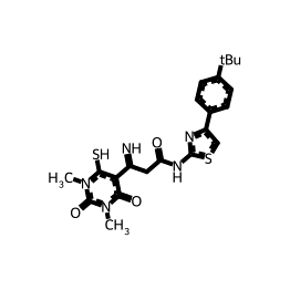 Cn1c(S)c(C(=N)CC(=O)Nc2nc(-c3ccc(C(C)(C)C)cc3)cs2)c(=O)n(C)c1=O